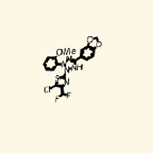 COc1ccccc1N1N=C(c2ccc3c(c2)OCO3)NN1c1nc(C(F)F)c(Cl)s1